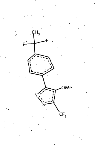 COc1c(-c2ccc(C(C)(F)F)cc2)nsc1C(F)(F)F